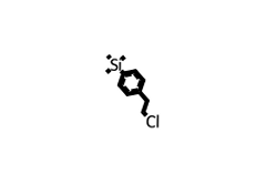 C[Si](C)(C)c1ccc(CCCl)cc1